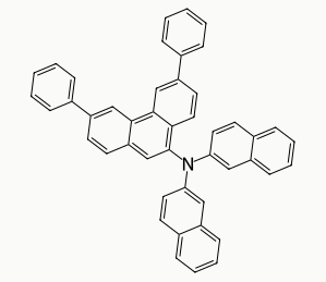 c1ccc(-c2ccc3cc(N(c4ccc5ccccc5c4)c4ccc5ccccc5c4)c4ccc(-c5ccccc5)cc4c3c2)cc1